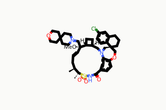 CO[C@@]1(CN2CCC3(CCOCC3)CC2)/C=C/C[C@H](C)[C@@H](C)S(=O)(=O)NC(=O)c2ccc3c(c2)N(C[C@@H]2CC[C@H]21)C[C@@]1(CCCc2cc(Cl)ccc21)CO3